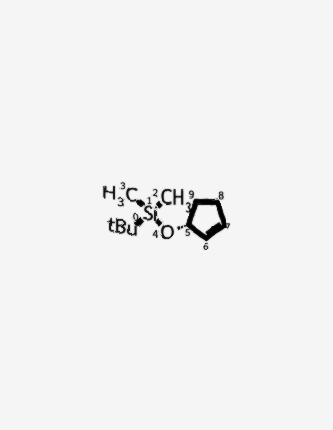 CC(C)(C)[Si](C)(C)O[C@H]1C=CCC1